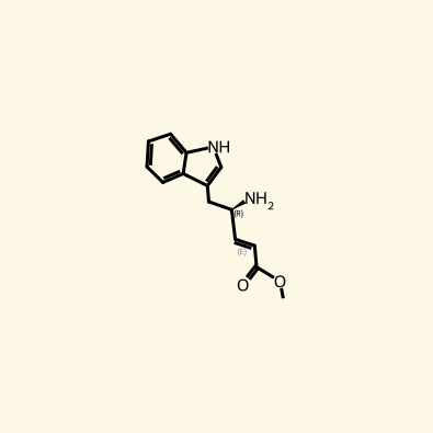 COC(=O)/C=C/[C@H](N)Cc1c[nH]c2ccccc12